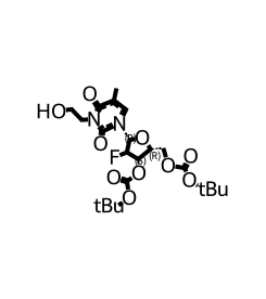 Cc1cn([C@@H]2O[C@H](COC(=O)OC(C)(C)C)[C@H](OC(=O)OC(C)(C)C)C2F)c(=O)n(CCO)c1=O